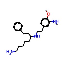 CNc1cc(CCNC(CCCCCN)CCc2ccccc2)ccc1OC